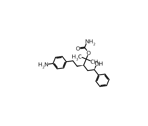 CC(C)(OC(N)=O)[C@H](CCc1ccc(N)cc1)C[C@@H](O)c1ccccc1